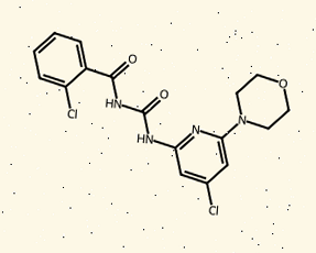 O=C(NC(=O)c1ccccc1Cl)Nc1cc(Cl)cc(N2CCOCC2)n1